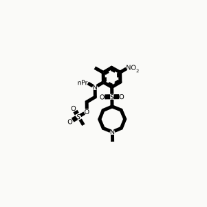 CCCN(CCOS(C)(=O)=O)c1c(C)cc([N+](=O)[O-])cc1S(=O)(=O)C1CCCN(C)CCC1